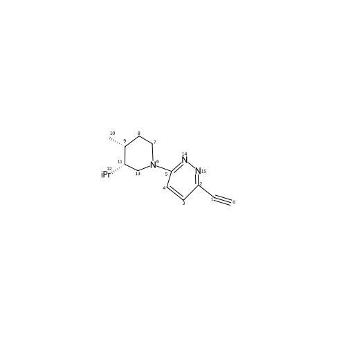 C#Cc1ccc(N2CC[C@@H](C)[C@@H](C(C)C)C2)nn1